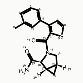 Cc1cccc(-c2ccsc2C(=O)N2C[C@@H]3C[C@@H]3[C@H]2C(N)=O)c1